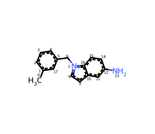 Cc1cccc(Cn2ccc3cc(N)ccc32)c1